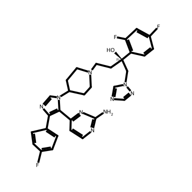 Nc1nccc(-c2c(-c3ccc(F)cc3)ncn2C2CCN(CC[C@@](O)(Cn3cncn3)c3ccc(F)cc3F)CC2)n1